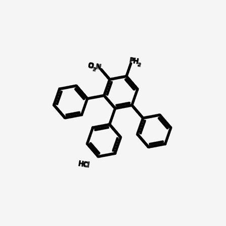 Cl.O=[N+]([O-])c1c(P)cc(-c2ccccc2)c(-c2ccccc2)c1-c1ccccc1